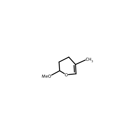 COC1CCC(C)=CO1